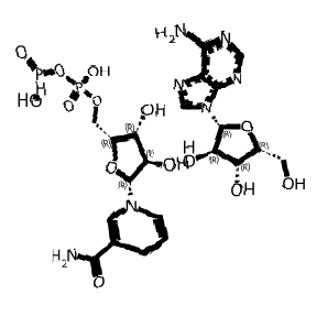 NC(=O)C1=CN([C@@H]2O[C@H](COP(=O)(O)O[PH](=O)O)[C@H](O)[C@H]2O)C=CC1.Nc1ncnc2c1ncn2[C@@H]1O[C@H](CO)[C@H](O)[C@H]1O